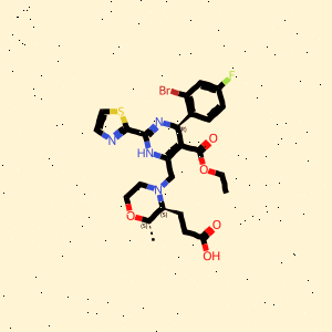 CCOC(=O)C1=C(CN2CCO[C@@H](C)[C@@H]2CCC(=O)O)NC(c2nccs2)=N[C@H]1c1ccc(F)cc1Br